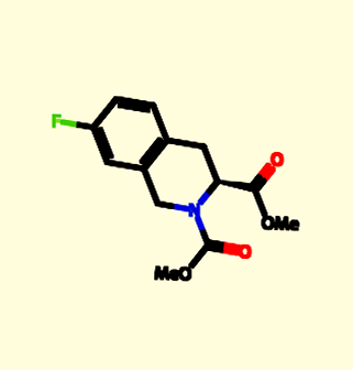 COC(=O)[C@@H]1Cc2ccc(F)cc2CN1C(=O)OC